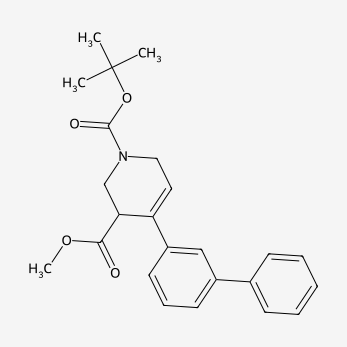 COC(=O)C1CN(C(=O)OC(C)(C)C)CC=C1c1cccc(-c2ccccc2)c1